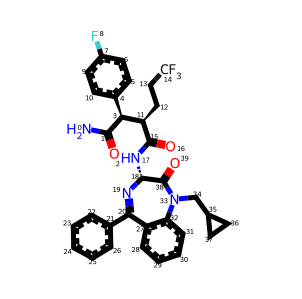 NC(=O)[C@@H](c1ccc(F)cc1)[C@@H](CCC(F)(F)F)C(=O)N[C@H]1N=C(c2ccccc2)c2ccccc2N(CC2CC2)C1=O